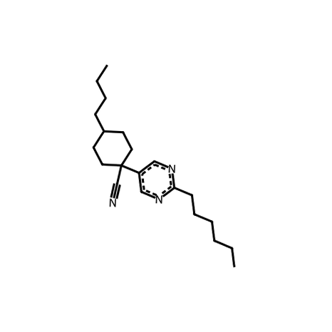 CCCCCCc1ncc(C2(C#N)CCC(CCCC)CC2)cn1